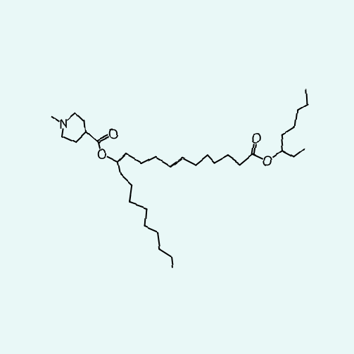 CCCCCCCCCC(CCCCCCCCCCC(=O)OC(CC)CCCCC)OC(=O)C1CCN(C)CC1